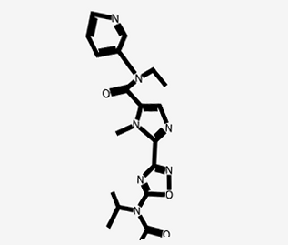 CCN(C(=O)c1cnc(-c2noc(N(C(C)=O)C(C)C)n2)n1C)c1cccnc1